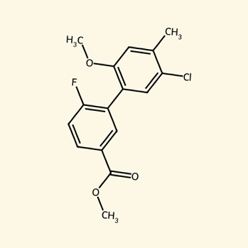 COC(=O)c1ccc(F)c(-c2cc(Cl)c(C)cc2OC)c1